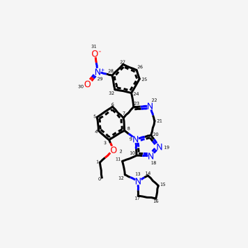 CCOc1cccc2c1-n1c(CCN3CCCC3)nnc1CN=C2c1cccc([N+](=O)[O-])c1